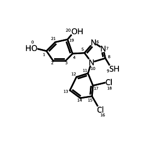 Oc1ccc(-c2nnc(S)n2-c2cccc(Cl)c2Cl)c(O)c1